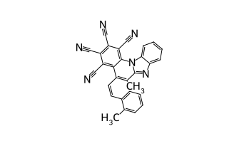 Cc1ccccc1/C=C\c1c(C)c2nc3ccccc3n2c2c(C#N)c(C#N)c(C#N)c(C#N)c12